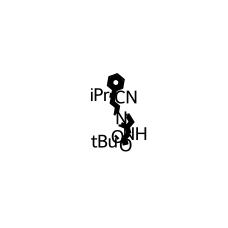 CC(C)C(C#N)(CCCN1CCC(NC(=O)OC(C)(C)C)C1)c1ccccc1